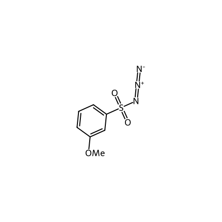 COc1cccc(S(=O)(=O)N=[N+]=[N-])c1